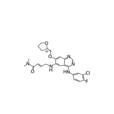 CN(C)C(=O)C=CCNc1cc2c(Nc3ccc(F)c(Cl)c3)ncnc2cc1OC[C@H]1CCCO1